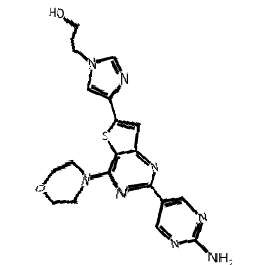 Nc1ncc(-c2nc(N3CCOCC3)c3sc(-c4cn(CCO)cn4)cc3n2)cn1